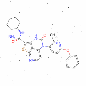 Cc1nc(Oc2ccccc2)ccc1N1C(=O)Nc2c(C(=O)N[C@@H]3CCCC[C@H]3N)sc3nccc1c23